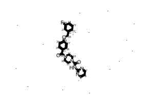 O=C(Nc1ncccn1)N1CCN(C(=O)c2ccc(OCc3cccc(F)c3)cc2)CC1